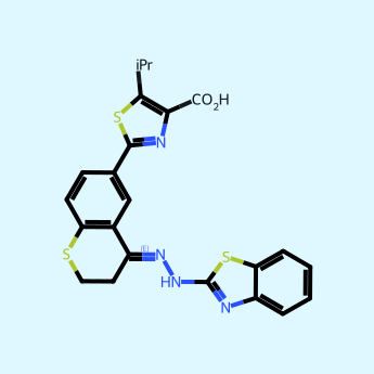 CC(C)c1sc(-c2ccc3c(c2)/C(=N/Nc2nc4ccccc4s2)CCS3)nc1C(=O)O